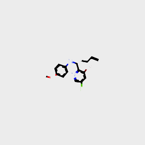 C=CCC[C@@H](Nc1ccc(OC)cc1)c1ncc(F)cc1Br